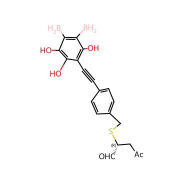 Bc1c(B)c(O)c(C#Cc2ccc(CS[C@@H](C=O)CC(C)=O)cc2)c(O)c1O